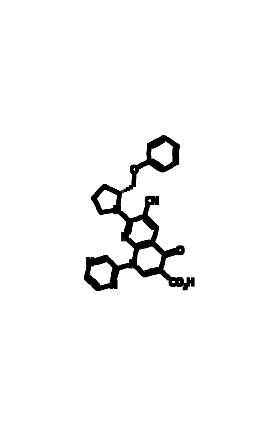 N#Cc1cc2c(=O)c(C(=O)O)cn(-c3cnccn3)c2nc1N1CCC[C@@H]1COc1ccccc1